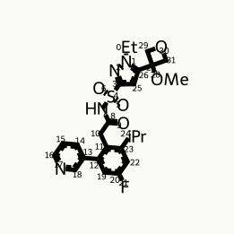 CCn1nc(S(=O)(=O)NC(=O)Cc2c(-c3cccnc3)cc(F)cc2C(C)C)cc1C1(OC)COC1